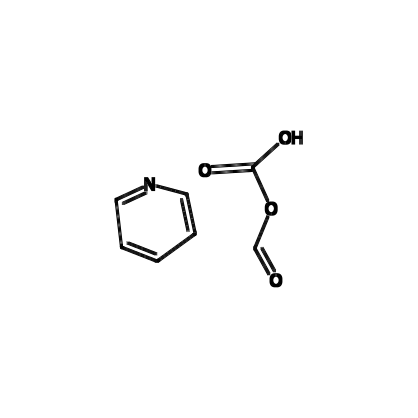 O=COC(=O)O.c1ccncc1